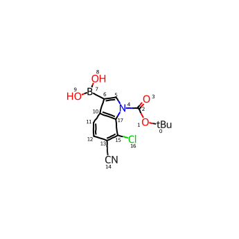 CC(C)(C)OC(=O)n1cc(B(O)O)c2ccc(C#N)c(Cl)c21